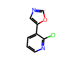 Clc1ncccc1-c1cn[c]o1